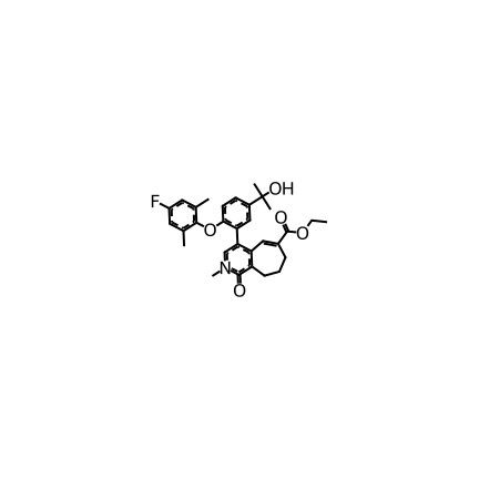 CCOC(=O)C1=Cc2c(-c3cc(C(C)(C)O)ccc3Oc3c(C)cc(F)cc3C)cn(C)c(=O)c2CCC1